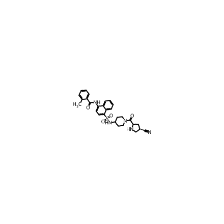 Cc1ccccc1C(=O)Nc1ccc(S(=O)(=O)NC2CCN(C(=O)C3C[C@@H](C#N)CN3)CC2)c2ccccc12